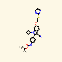 CC(C)OC(=O)Nc1ccc(-c2c(C#N)c3ccc(OCCSc4ncccn4)cc3n2C2CCC2)cc1